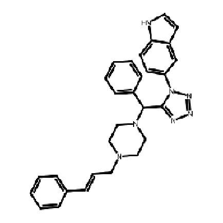 C(=Cc1ccccc1)CN1CCN(C(c2ccccc2)c2nnnn2-c2ccc3[nH]ccc3c2)CC1